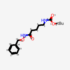 CC(C)(C)OC(=O)NCCCCC(=O)NOCc1ccccc1